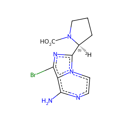 [2H][C@@]1(c2nc(Br)c3c(N)nccn23)CCCN1C(=O)O